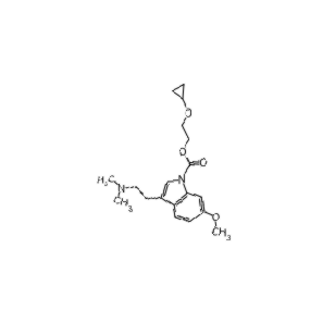 COc1ccc2c(CCN(C)C)cn(C(=O)OCCOC3CC3)c2c1